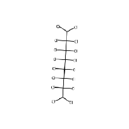 Cl[C](Cl)C(Cl)(Cl)C(Cl)(Cl)C(Cl)(Cl)C(Cl)(Cl)C(Cl)(Cl)C(Cl)(Cl)[C](Cl)Cl